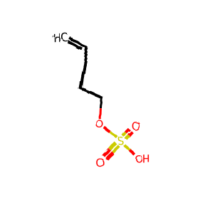 [CH]=CCCOS(=O)(=O)O